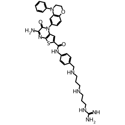 N=C(N)NCCCNCCCNCc1ccc(NC(=O)c2cc3c(nc(N)c(=O)n3-c3ccc4c(c3)N(c3ccccc3)CCO4)s2)cc1